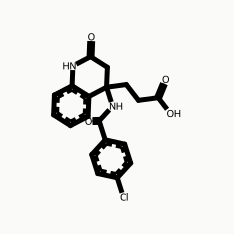 O=C(O)CCC1(NC(=O)c2ccc(Cl)cc2)CC(=O)Nc2ccccc21